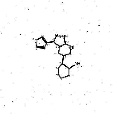 NC1CCCCC1C1CNC2NCC(c3ccoc3)C2C1